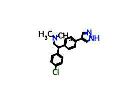 CN(C)CC(c1ccc(Cl)cc1)c1ccc(-c2cn[nH]c2)cc1